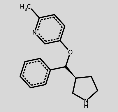 Cc1ccc(OC(c2ccccc2)[C@H]2CCNC2)cn1